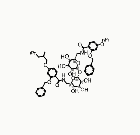 CCCOc1ccc(C(=O)NC[C@H]2O[C@H](O[C@H]3O[C@H](CNC(=O)c4ccc(OCC(C)CC(C)C)cc4OCc4ccccc4)[C@@H](O)[C@H](O)[C@H]3O)[C@H](O)[C@@H](O)[C@@H]2O)c(OCc2ccccc2)c1